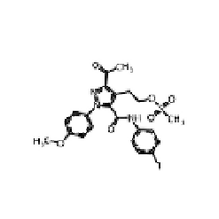 COc1ccc(-n2nc(C(C)=O)c(CCOS(C)(=O)=O)c2C(=O)Nc2ccc(I)cc2)cc1